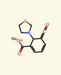 O=C=C1C=CC=C(C(=O)O)C1N1CCSC1.[Na]